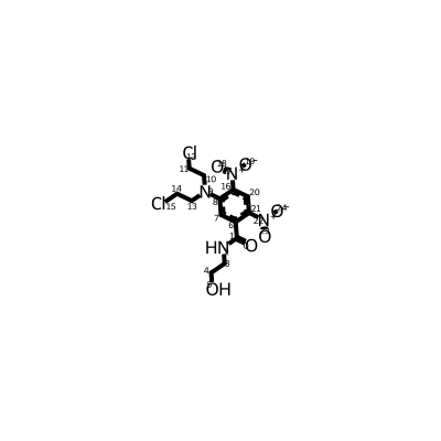 O=C(NCCO)c1cc(N(CCCl)CCCl)c([N+](=O)[O-])cc1[N+](=O)[O-]